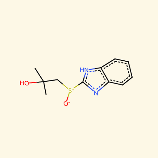 CC(C)(O)C[S+]([O-])c1nc2ccccc2[nH]1